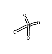 [O]=[Ni](=[O])(=[O])=[O]